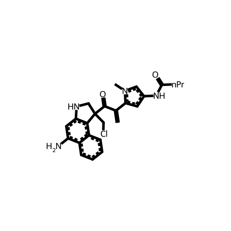 C=C(C(=O)C1(CCl)CNc2cc(N)c3ccccc3c21)c1cc(NC(=O)CCC)cn1C